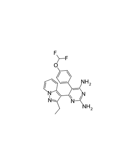 CCc1nn2ccccc2c1-c1nc(N)nc(N)c1-c1ccc(OC(F)F)cc1